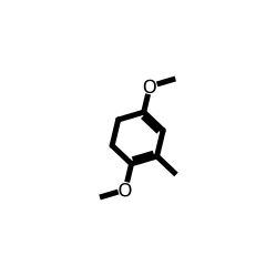 COC1=CC(C)=C(OC)CC1